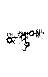 Cc1cccc(C)c1/C=C/n1cnc2c(Nc3ccc(P(C)(C)=O)cc3)nc(-c3ccc(Cl)s3)nc21